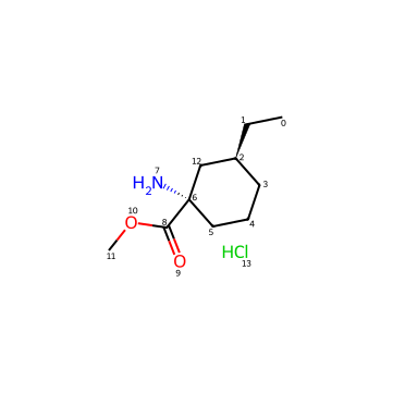 CC[C@H]1CCC[C@@](N)(C(=O)OC)C1.Cl